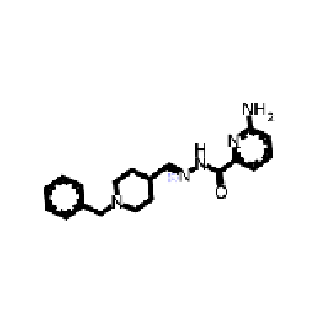 Nc1cccc(C(=O)N/N=C/C2CCN(Cc3ccccc3)CC2)n1